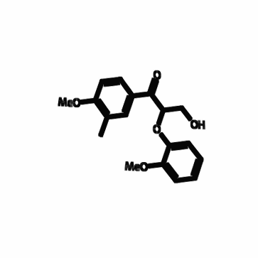 COc1ccc(C(=O)C(CO)Oc2ccccc2OC)cc1C